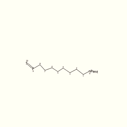 CCCCCCCCCCCCCP=S